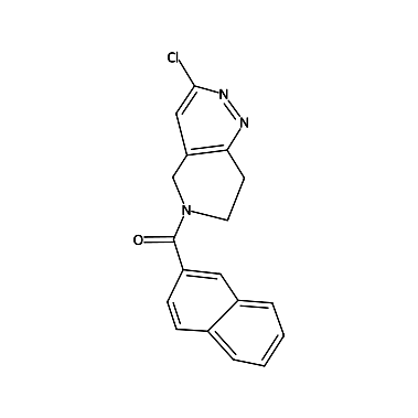 O=C(c1ccc2ccccc2c1)N1CCc2nnc(Cl)cc2C1